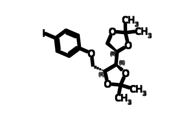 CC1(C)OC[C@H]([C@H]2OC(C)(C)O[C@@H]2COc2ccc(I)cc2)O1